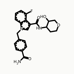 NC(=O)c1ccc(Cn2cc(C(=O)NC3CCOCC3O)c3c(F)cccc32)cc1